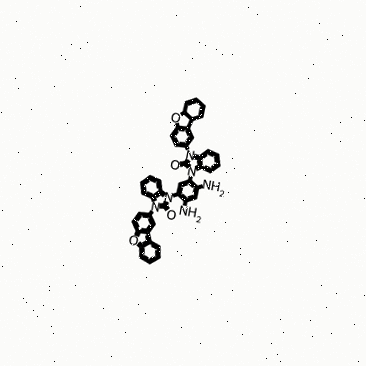 Nc1cc(N)c(-n2c(=O)n(-c3ccc4oc5ccccc5c4c3)c3ccccc32)cc1-n1c(=O)n(-c2ccc3c(c2)C2C=CC=CC2O3)c2ccccc21